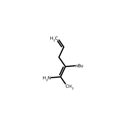 C=CC/C(CCCC)=C(/C)N